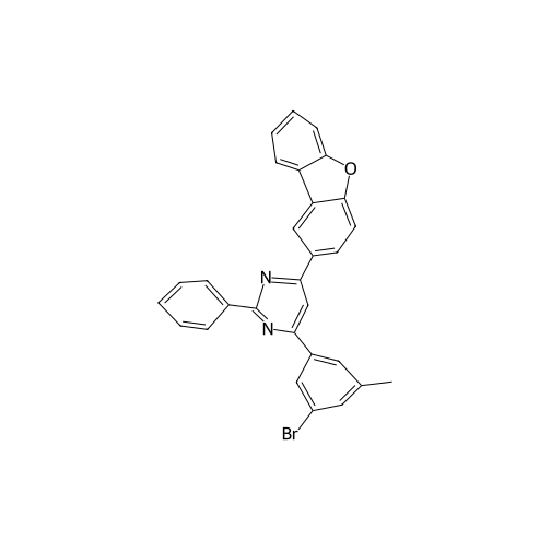 Cc1cc(Br)cc(-c2cc(-c3ccc4oc5ccccc5c4c3)nc(-c3ccccc3)n2)c1